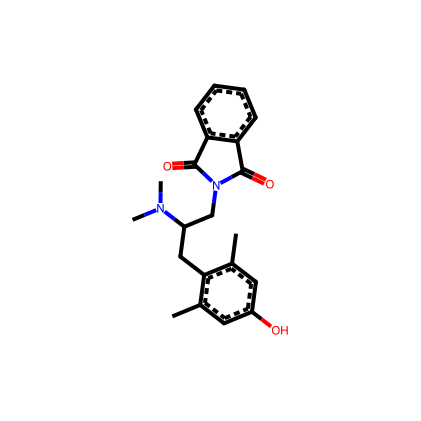 Cc1cc(O)cc(C)c1CC(CN1C(=O)c2ccccc2C1=O)N(C)C